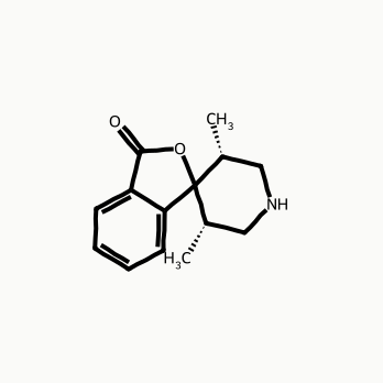 C[C@@H]1CNC[C@H](C)C12OC(=O)c1ccccc12